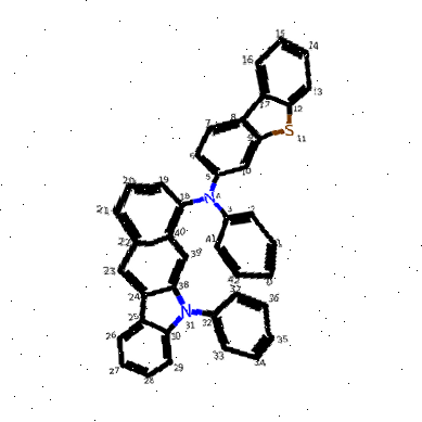 c1ccc(N(c2ccc3c(c2)sc2ccccc23)c2cccc3cc4c5ccccc5n(-c5ccccc5)c4cc23)cc1